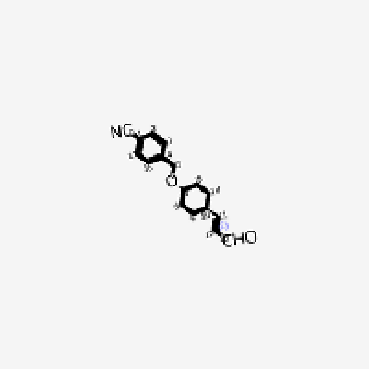 N#Cc1ccc(CO[C@H]2CC[C@H](/C=C/C=O)CC2)cc1